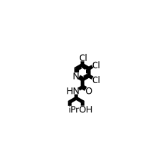 CC(C)CC(CO)NC(=O)c1ncc(Cl)c(Cl)c1Cl